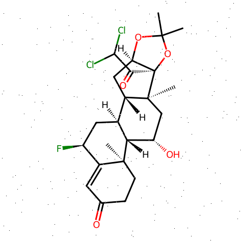 CC1(C)O[C@@H]2C[C@H]3[C@@H]4C[C@H](F)C5=CC(=O)CC[C@]5(C)[C@H]4[C@@H](O)C[C@]3(C)[C@]2(C(=O)C(Cl)Cl)O1